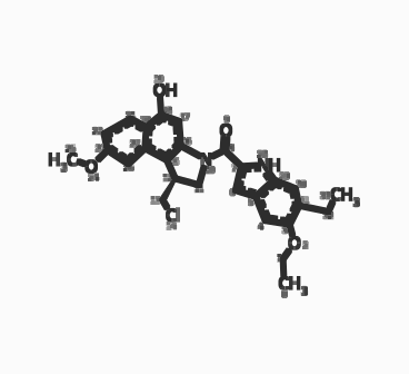 CCOc1cc2cc(C(=O)N3C[C@@H](CCl)c4c3cc(O)c3ccc(OC)cc43)[nH]c2cc1CC